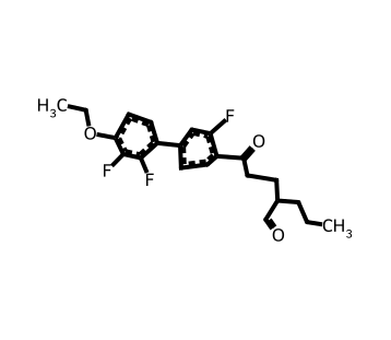 CCCC(C=O)CCC(=O)c1ccc(-c2ccc(OCC)c(F)c2F)cc1F